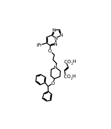 CC(C)c1cc2ncnn2nc1OCCCN1CCC(OC(c2ccccc2)c2ccccc2)CC1.O=C(O)C=CC(=O)O